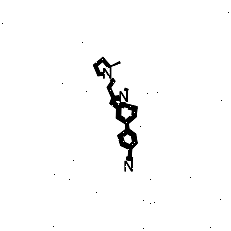 C[C@@H]1CCCN1CCc1cc2cc(-c3ccc(C#N)cc3)ccc2n1C